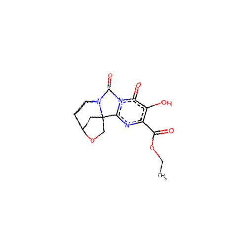 CCOC(=O)c1nc2n(c(=O)c1O)C(=O)N1CCC3CC21CO3